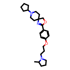 CC1CCCN1CCCOc1ccc(C2=NC3(CCN(C4CCCC4)CC3)CO2)cc1